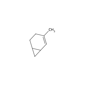 CC1=CC2CC2CC1